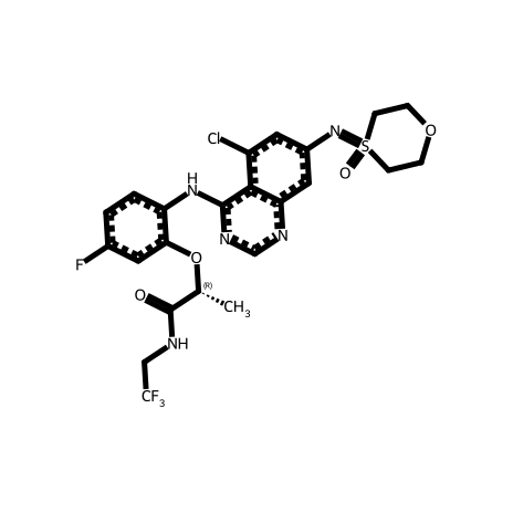 C[C@@H](Oc1cc(F)ccc1Nc1ncnc2cc(N=S3(=O)CCOCC3)cc(Cl)c12)C(=O)NCC(F)(F)F